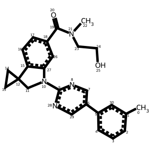 Cc1cccc(-c2cnc(N3CC4(CC4)c4ccc(C(=O)N(C)CCO)cc43)nc2)c1